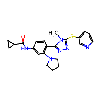 Cn1c(Sc2cccnc2)nnc1-c1ccc(NC(=O)C2CC2)cc1N1CCCC1